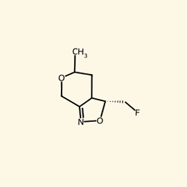 CC1CC2C(=NO[C@H]2CF)CO1